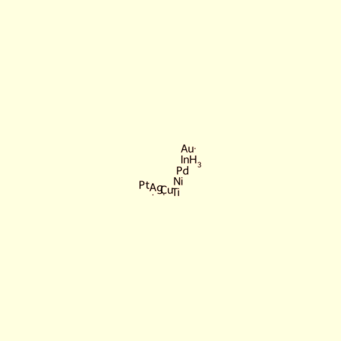 [Ag].[Au].[Cu].[InH3].[Ni].[Pd].[Pt].[Ti]